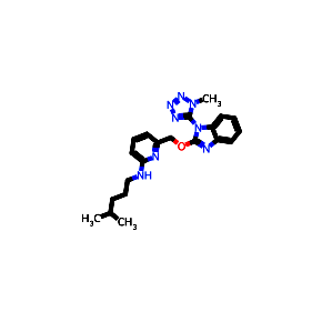 CC(C)CCCNc1cccc(COc2nc3ccccc3n2-c2nnnn2C)n1